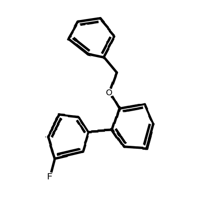 Fc1[c]ccc(-c2ccccc2OCc2ccccc2)c1